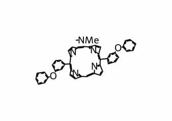 C1=CC2=NC1=CC1=NC(=C(c3cccc(Oc4ccccc4)c3)C3=NC(=CC4=NC(=C2c2cccc(Oc5ccccc5)c2)C=C4)C=C3)C=C1.CNC